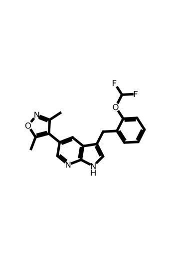 Cc1noc(C)c1-c1cnc2[nH]cc(Cc3ccccc3OC(F)F)c2c1